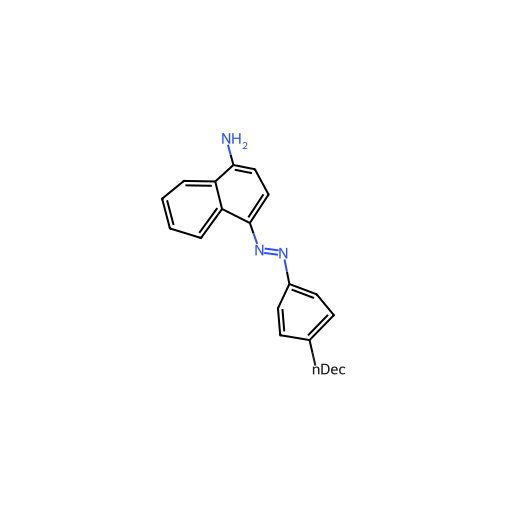 CCCCCCCCCCc1ccc(N=Nc2ccc(N)c3ccccc23)cc1